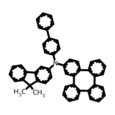 CC1(C)c2ccccc2-c2cc(N(c3ccc(-c4ccccc4)cc3)c3ccc4c(c3)-c3ccccc3-c3ccccc3-c3ccccc3-4)ccc21